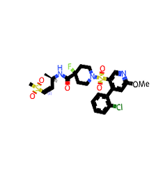 COc1cc(-c2ccccc2Cl)c(S(=O)(=O)N2CCC(F)(C(=O)N[C@H](C)/C=C\S(C)(=O)=O)CC2)cn1